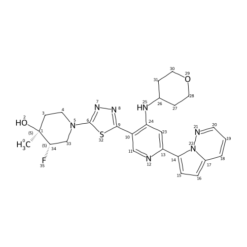 C[C@]1(O)CCN(c2nnc(-c3cnc(-c4ccc5cccnn45)cc3NC3CCOCC3)s2)C[C@@H]1F